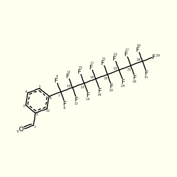 O=Cc1cccc(C(F)(F)C(F)(F)C(F)(F)C(F)(F)C(F)(F)C(F)(F)C(F)(F)C(F)(F)F)c1